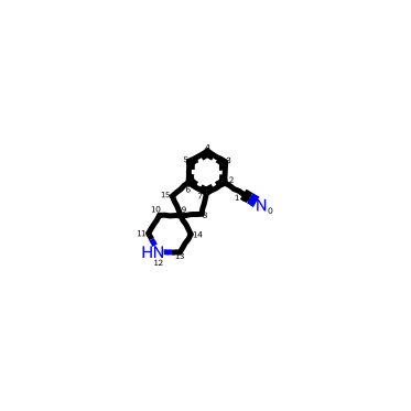 N#Cc1cccc2c1CC1(CCNCC1)C2